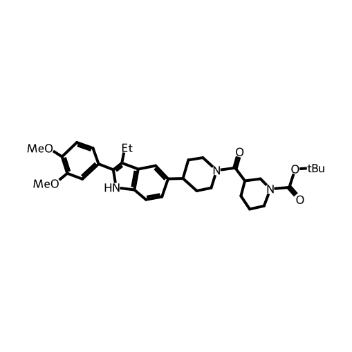 CCc1c(-c2ccc(OC)c(OC)c2)[nH]c2ccc(C3CCN(C(=O)C4CCCN(C(=O)OC(C)(C)C)C4)CC3)cc12